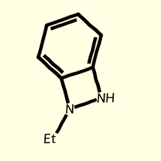 CCn1[nH]c2ccccc21